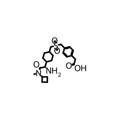 CN(C(=O)[C@@H](N)C1CCC(CS(=O)(=O)Cc2ccc(CC(=O)O)cc2)CC1)C1CCC1